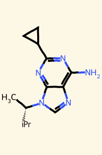 CC(C)[C@H](C)n1cnc2c(N)nc(C3CC3)nc21